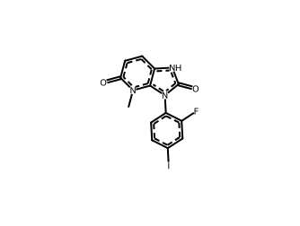 Cn1c(=O)ccc2[nH]c(=O)n(-c3ccc(I)cc3F)c21